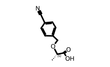 C[C@H](OCc1ccc(C#N)cc1)C(=O)O